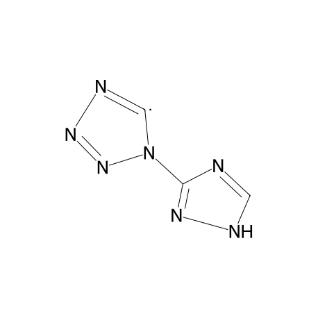 [c]1nnnn1-c1nc[nH]n1